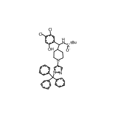 CC(C)(C)[S@+]([O-])NC(c1cc(Cl)c(Cl)cc1O)C1CCN(c2cnn(C(c3ccccc3)(c3ccccc3)c3ccccc3)c2)CC1